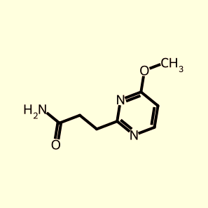 COc1ccnc(CCC(N)=O)n1